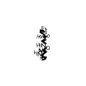 CCc1ccc(C(=O)NCCCNC(=O)c2cc(-c3cccs3)[nH]n2)o1